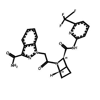 NC(=O)c1nn(CC(=O)N2[C@H]3CCC3[C@@H]2C(=O)Nc2cccc(C(F)(F)F)n2)c2ccccc12